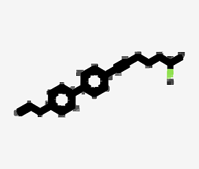 C=CCc1ccc(-c2ccc(C#CCCCC(C)F)cc2)cc1